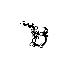 CC(=CCC[O])C(=O)Oc1nc2nc(n1)OC(=O)C(C)=COCCC=C(C)C(=O)O2.[CH2]C[O]